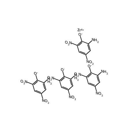 Nc1cc([N+](=O)[O-])cc([N+](=O)[O-])c1[O-].Nc1cc([N+](=O)[O-])cc([N+](=O)[O-])c1[O-].Nc1cc([N+](=O)[O-])cc([N+](=O)[O-])c1[O-].Nc1cc([N+](=O)[O-])cc([N+](=O)[O-])c1[O-].[Zr+4]